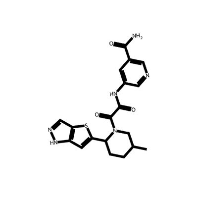 CC1CCC(c2cc3[nH]ncc3s2)N(C(=O)C(=O)Nc2cncc(C(N)=O)c2)C1